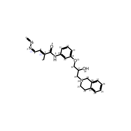 C=N/N=C\C=C(/C)C(=O)Nc1cccc(OCC(O)CN2CCc3ccccc3C2)c1